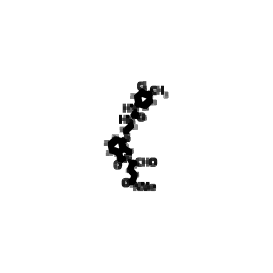 CNC(=O)CCC(C=O)N1Cc2c(SCCNC(=O)Nc3ccc(C)c(Cl)c3)cccc2C1=O